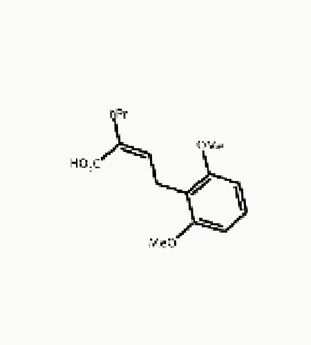 CCCC(=CCc1c(OC)cccc1OC)C(=O)O